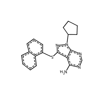 Nc1ncnc2c1c(Sc1cccc3ccccc13)nn2C1CCCC1